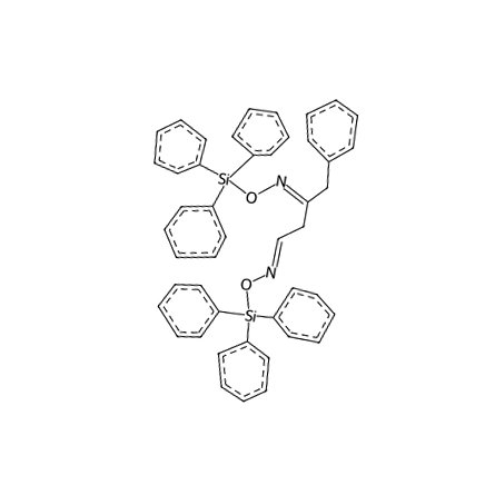 C(CC(Cc1ccccc1)=NO[Si](c1ccccc1)(c1ccccc1)c1ccccc1)=NO[Si](c1ccccc1)(c1ccccc1)c1ccccc1